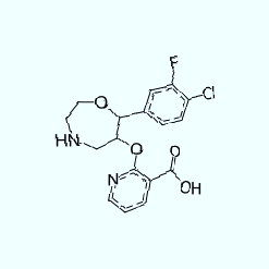 O=C(O)c1cccnc1OC1CNCCOC1c1ccc(Cl)c(F)c1